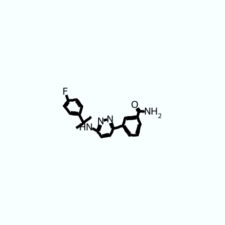 CC(C)(Nc1ccc(-c2cccc(C(N)=O)c2)nn1)c1ccc(F)cc1